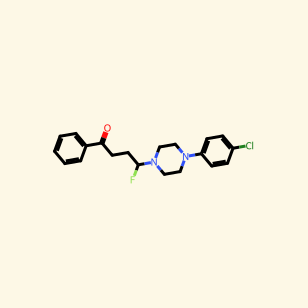 O=C(CCC(F)N1CCN(c2ccc(Cl)cc2)CC1)c1ccccc1